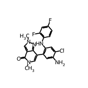 Cn1cc2c(=O)n(C)cc(-c3cc(N)c(Cl)cc3Nc3ccc(F)cc3F)c2n1